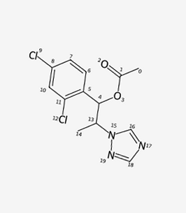 CC(=O)OC(c1ccc(Cl)cc1Cl)C(C)n1cncn1